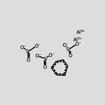 O=[Si]([O-])[O-].O=[Si]([O-])[O-].O=[Si]([O-])[O-].[Al+3].[Al+3].c1ccccc1